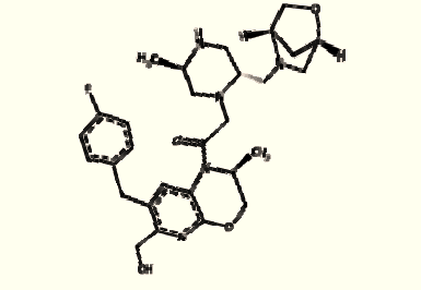 C[C@@H]1CN(CC(=O)N2c3cc(Cc4ccc(F)cc4)c(CO)nc3OC[C@@H]2C)[C@@H](CN2C[C@@H]3C[C@H]2CO3)CN1